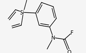 C=C[Si](C)(C=C)c1cccc(N(C)C(=O)F)c1